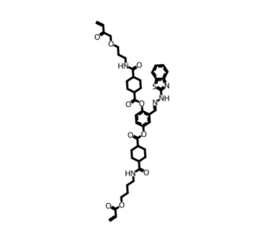 C=CC(=O)COCCCNC(=O)C1CCC(C(=O)Oc2ccc(OC(=O)C3CCC(C(=O)NCCCCOC(=O)C=C)CC3)cc2/C=N/Nc2nc3ccccc3s2)CC1